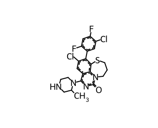 CC1CNCCN1c1nc(=O)n2c3c(c(-c4cc(Cl)c(F)cc4F)c(Cl)cc13)SCCC2